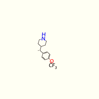 FC(F)(F)Oc1ccc([CH]C2CCNCC2)cc1